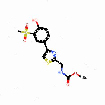 CC(C)(C)OC(=O)NCc1nc(-c2ccc(O)c(S(C)(=O)=O)c2)cs1